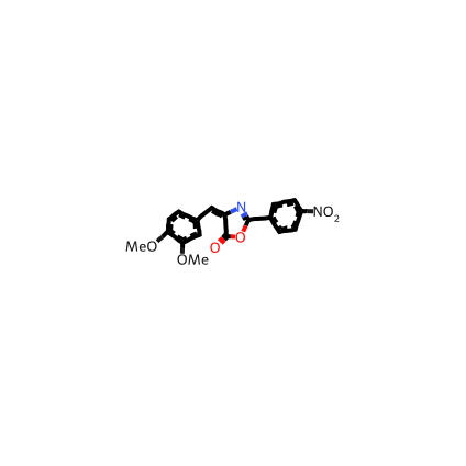 COc1ccc(C=C2N=C(c3ccc([N+](=O)[O-])cc3)OC2=O)cc1OC